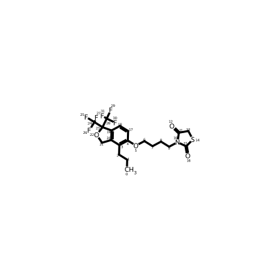 CCCc1c(OCCCCN2C(=O)CSC2=O)ccc2c1COC2(C(F)(F)F)C(F)(F)F